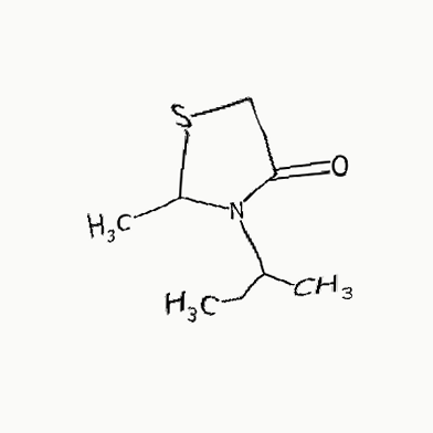 CC(C)N1C(=O)CSC1C